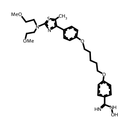 COCCN(CCOC)c1nc(-c2ccc(OCCCCCOc3ccc(C(=N)NO)cc3)cc2)c(C)s1